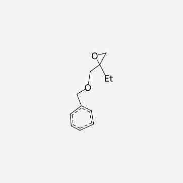 CCC1(COCc2ccccc2)CO1